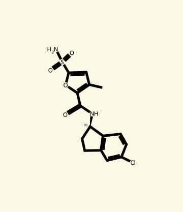 Cc1cc(S(N)(=O)=O)oc1C(=O)N[C@@H]1CCc2cc(Cl)ccc21